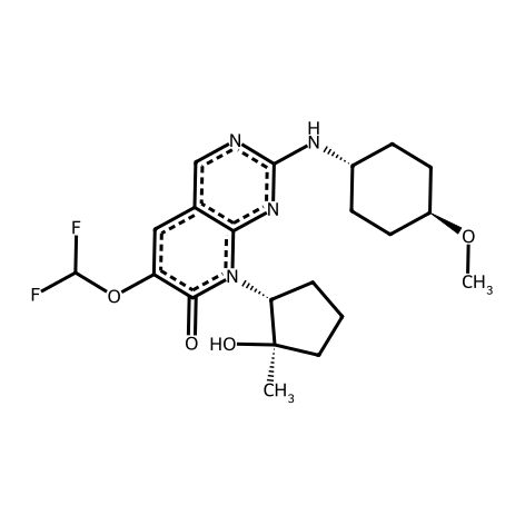 CO[C@H]1CC[C@H](Nc2ncc3cc(OC(F)F)c(=O)n([C@@H]4CCC[C@@]4(C)O)c3n2)CC1